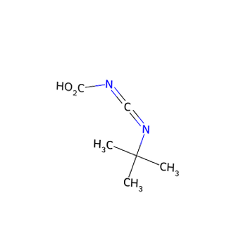 CC(C)(C)N=C=NC(=O)O